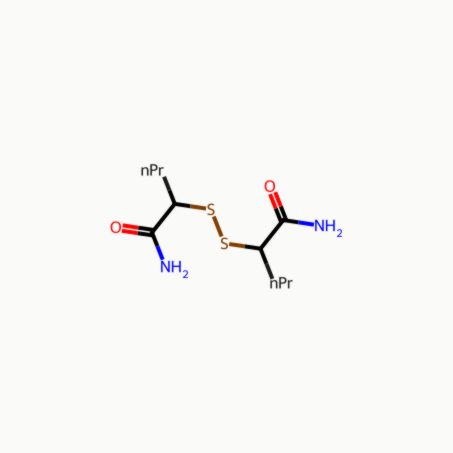 CCCC(SSC(CCC)C(N)=O)C(N)=O